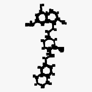 COc1cc(F)c2ncc(Cl)c(CCN3CC[C@H](NCc4cc5c(cn4)OCCO5)[C@H](O)C3)c2c1